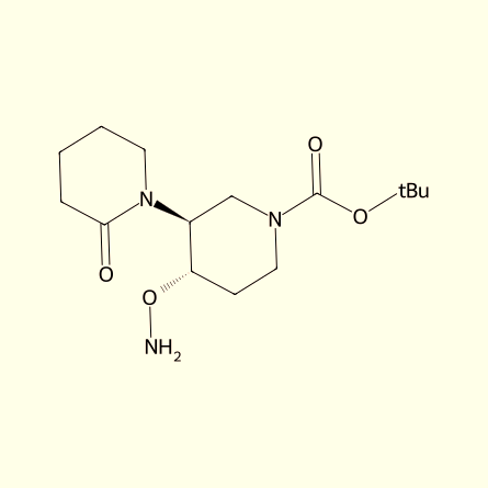 CC(C)(C)OC(=O)N1CC[C@H](ON)[C@@H](N2CCCCC2=O)C1